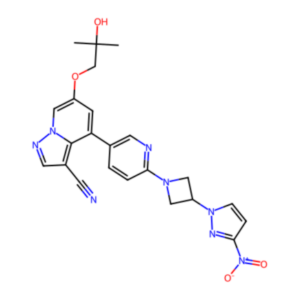 CC(C)(O)COc1cc(-c2ccc(N3CC(n4ccc([N+](=O)[O-])n4)C3)nc2)c2c(C#N)cnn2c1